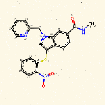 CNC(=O)c1ccc2c(Sc3ccccc3[N+](=O)[O-])cn(Cc3ccccn3)c2c1